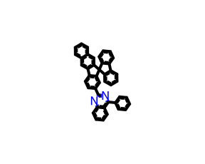 c1ccc(-c2nc(-c3ccc4c(c3)C3(c5ccccc5-c5ccccc53)c3cc5ccccc5cc3-4)nc3ccccc23)cc1